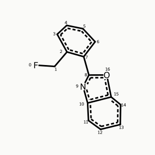 FCc1ccccc1-c1nc2ccccc2o1